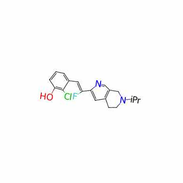 CC(C)N1CCc2cc(/C(F)=C/c3cccc(O)c3Cl)ncc2C1